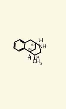 C[C@@H]1CN[C@@H]2Cc3ccccc3[C@H]1C2